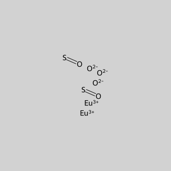 O=S.O=S.[Eu+3].[Eu+3].[O-2].[O-2].[O-2]